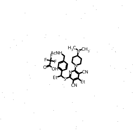 CCc1c(C#N)c(SC(CC)c2ccc(CNC(C)=O)cc2)nc(N2CCC(N(C)C)CC2)c1C#N.O=C(O)C(F)(F)F